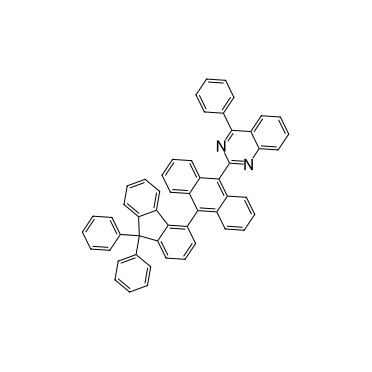 c1ccc(-c2nc(-c3c4ccccc4c(-c4cccc5c4-c4ccccc4C5(c4ccccc4)c4ccccc4)c4ccccc34)nc3ccccc23)cc1